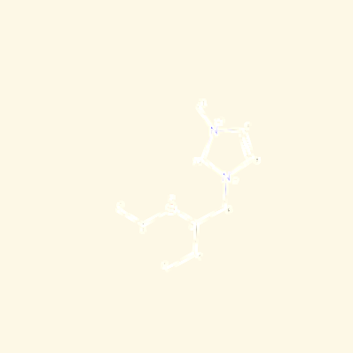 CCOC(CC)CN1C=CN(C)C1